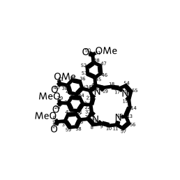 COC(=O)c1ccc(C2=CC3=CC4=NC(=CC5=NC(=CC6=NC(=C(c7ccc(C(=O)OC)cc7)C2=N3)C(c2ccc(C(=O)OC)cc2)=C6c2ccc(C(=O)OC)cc2)C=C5)C=C4)cc1